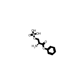 N[C@@H](COP(=O)(O)O)C(=O)Oc1ccccc1